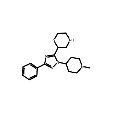 CN1CCC(n2nc(-c3ccccc3)nc2C2CNCCO2)CC1